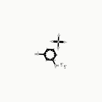 O=S(=O)([O-])[O-].Oc1cccc(O)c1.[K+].[K+]